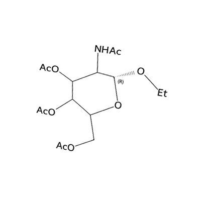 CCO[C@@H]1OC(COC(C)=O)C(OC(C)=O)C(OC(C)=O)C1NC(C)=O